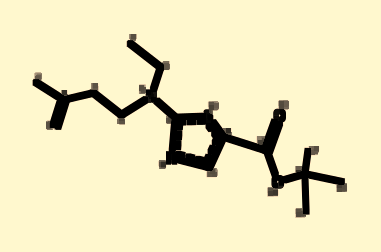 C=C(C)CCN(CC)c1ncc(C(=O)OC(C)(C)C)s1